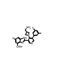 COc1cc(F)cc2[nH]c(-c3cncc(-c4cc(C)cc(F)c4)c3N3CC(CN)C3)nc12